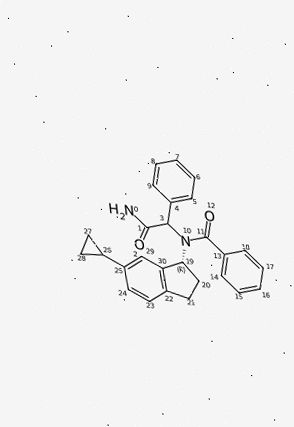 NC(=O)C(c1ccccc1)N(C(=O)c1ccccc1)[C@@H]1CCc2ccc(C3CC3)cc21